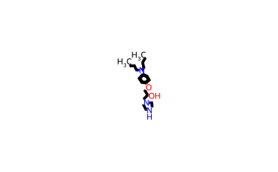 CCCCN(CCCC)c1ccc(OCC(O)CN2CCNCC2)cc1